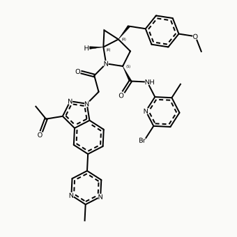 COc1ccc(C[C@@]23C[C@@H](C(=O)Nc4nc(Br)ccc4C)N(C(=O)Cn4nc(C(C)=O)c5cc(-c6cnc(C)nc6)ccc54)[C@@H]2C3)cc1